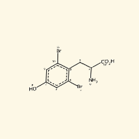 NC(Cc1c(Br)cc(O)cc1Br)C(=O)O